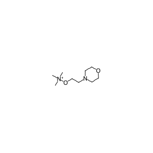 C[N+](C)(C)OCCN1CCOCC1